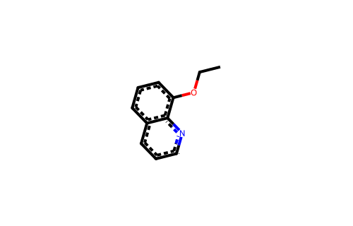 CCOc1cccc2cc[c]nc12